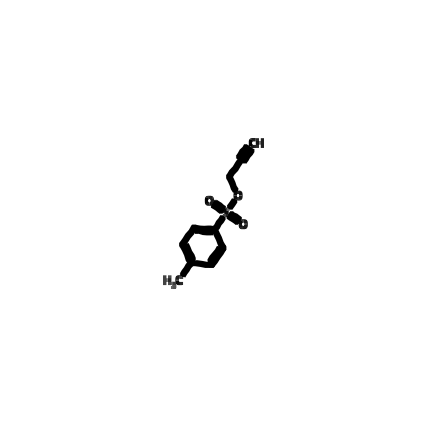 C#CCOS(=O)(=O)c1ccc(C)cc1